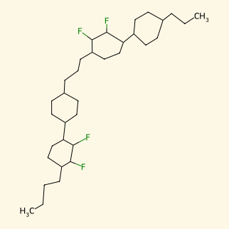 CCCCC1CCC(C2CCC(CCCC3CCC(C4CCC(CCC)CC4)C(F)C3F)CC2)C(F)C1F